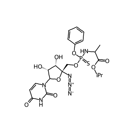 CC(C)OC(=O)C(C)NP(=S)(OC[C@@]1(N=[N+]=[N-])OC(n2ccc(=O)[nH]c2=O)[C@H](O)[C@@H]1O)Oc1ccccc1